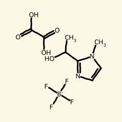 CC(O)c1nccn1C.F[B-](F)(F)F.O=C(O)C(=O)O